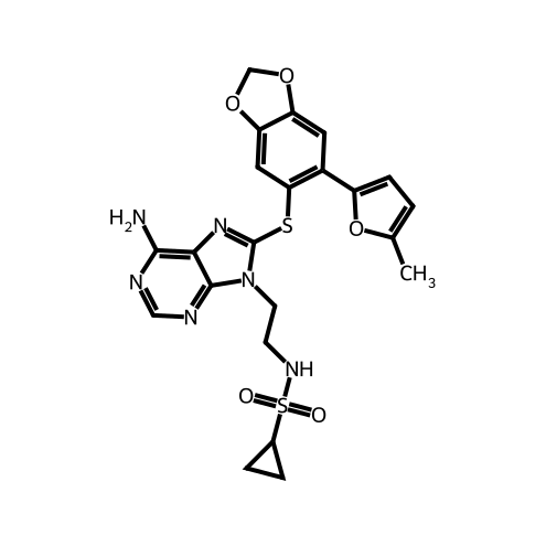 Cc1ccc(-c2cc3c(cc2Sc2nc4c(N)ncnc4n2CCNS(=O)(=O)C2CC2)OCO3)o1